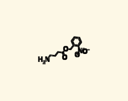 NCCCC(=O)OCc1ccccc1[N+](=O)[O-]